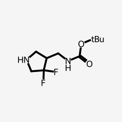 CC(C)(C)OC(=O)NCC1CNCC1(F)F